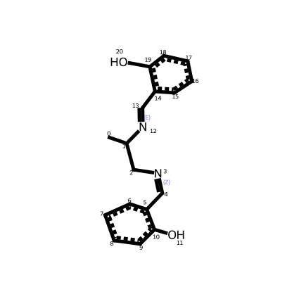 CC(C/N=C\c1ccccc1O)/N=C/c1ccccc1O